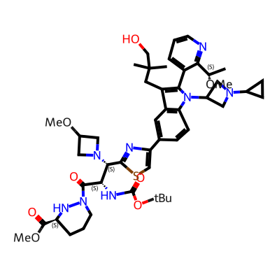 COC(=O)[C@@H]1CCCN(C(=O)[C@@H](NC(=O)OC(C)(C)C)[C@@H](c2nc(-c3ccc4c(c3)c(CC(C)(C)CO)c(-c3cccnc3[C@H](C)OC)n4C3CN(C4CC4)C3)cs2)N2CC(OC)C2)N1